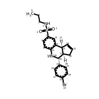 CCCNS(=O)(=O)c1ccc2c(c1)[C@H]1C=CC[C@H]1[C@H](c1ccc(Br)cc1)N2